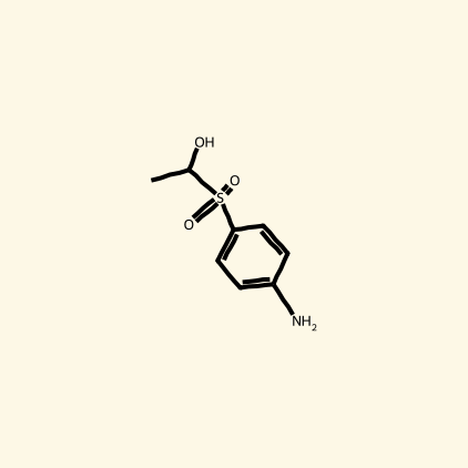 CC(O)S(=O)(=O)c1ccc(N)cc1